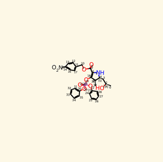 C[C@@H](O)C[C@@H]1NC(C(=O)OCc2ccc([N+](=O)[O-])cc2)=C(OP(=O)(Oc2ccccc2)Oc2ccccc2)[C@@H]1C